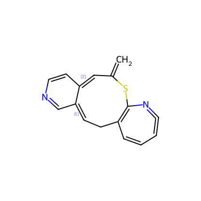 C=C1/C=c2/ccnc/c2=C/CC2=C(N=C=CC=C2)S1